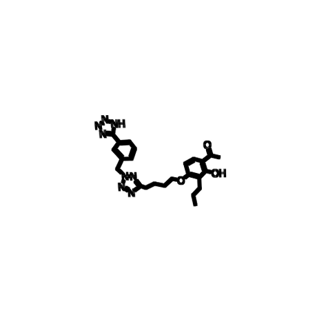 CCCc1c(OCCCCc2nnn(Cc3cccc(-c4nnn[nH]4)c3)n2)ccc(C(C)=O)c1O